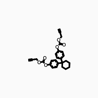 C#CCOC(=O)Oc1ccc(C2(c3ccc(OC(=O)OCC#C)cc3)CCCCC2)cc1